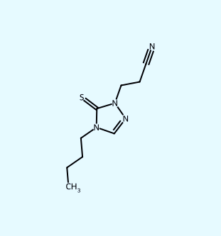 CCCCn1cnn(CCC#N)c1=S